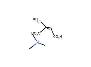 CC/C(=C/C(=O)O)C(=O)O.CN(C)C.[KH]